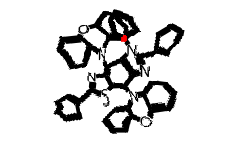 c1ccc(-c2nc3c(N4c5ccccc5Oc5ccccc54)c4c(nc(-c5ccccc5)n4-c4ccccc4)c(N4c5ccccc5Oc5ccccc54)c3s2)cc1